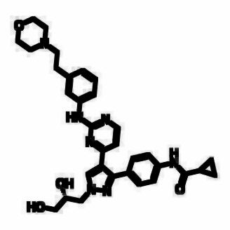 O=C(Nc1ccc(-c2nn(C[C@@H](O)CO)cc2-c2ccnc(Nc3cccc(CCN4CCOCC4)c3)n2)cc1)C1CC1